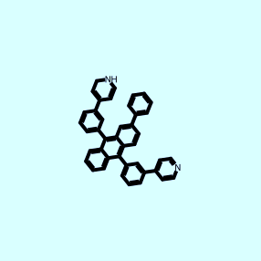 C1=CC(c2cccc(-c3c4ccccc4c(-c4cccc(-c5ccncc5)c4)c4ccc(-c5ccccc5)cc34)c2)=CCN1